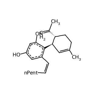 C=C(C)[C@@H]1CCC(C)=C[C@H]1c1c(O)cc(O)cc1/C=C\CCCCC